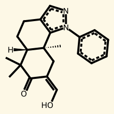 CC1(C)C(=O)/C(=C\O)C[C@]2(C)c3c(cnn3-c3ccccc3)CC[C@@H]12